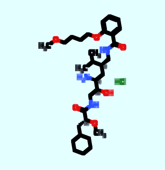 COCCCCOc1ccccc1C(=O)NC[C@@H](C[C@H](N)[C@@H](O)CNC(=O)[C@@H](CC1CCCCC1)OC)C(C)C.Cl